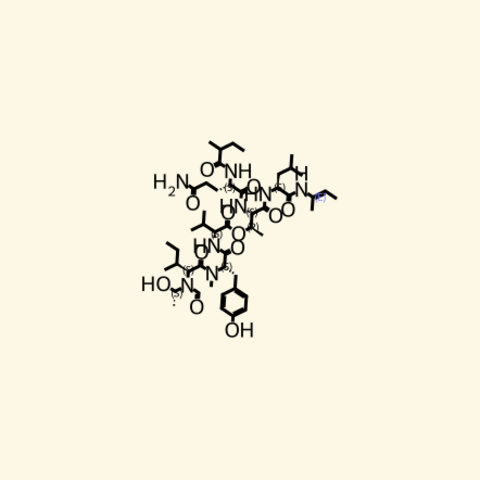 C/C=C(\C)NC(=O)[C@H](CC(C)C)NC(=O)[C@@H](NC(=O)[C@H](CCC(N)=O)NC(=O)C(C)CC)[C@@H](C)OC(=O)[C@@H](NC(=O)[C@H](Cc1ccc(O)cc1)N(C)C(=O)[C@H](C(C)CC)N(C=O)[C@H](C)O)C(C)C